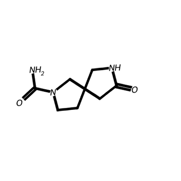 NC(=O)N1CCC2(CNC(=O)C2)C1